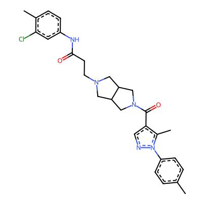 Cc1ccc(-n2ncc(C(=O)N3CC4CN(CCC(=O)Nc5ccc(C)c(Cl)c5)CC4C3)c2C)cc1